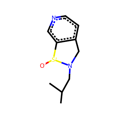 CC(C)CN1Cc2ccncc2[S+]1[O-]